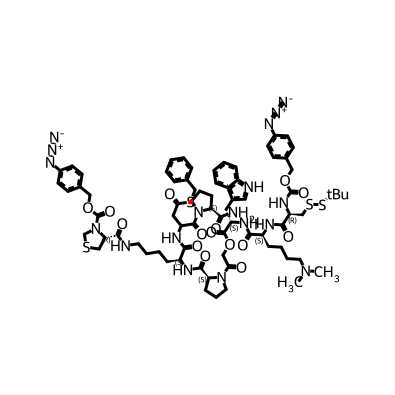 CN(C)CCCC[C@H](NC(=O)[C@H](CSSC(C)(C)C)NC(=O)OCc1ccc(N=[N+]=[N-])cc1)C(=O)N[C@@H](Cc1c[nH]c2ccccc12)C(=O)OCC(=O)N1CCC[C@H]1C(=O)N[C@@H](CCCCNC(=O)[C@@H]1CSCN1C(=O)OCc1ccc(N=[N+]=[N-])cc1)C(=O)NC(CC(=O)SCc1ccccc1)C(=O)N1CCC[C@H]1C(N)=O